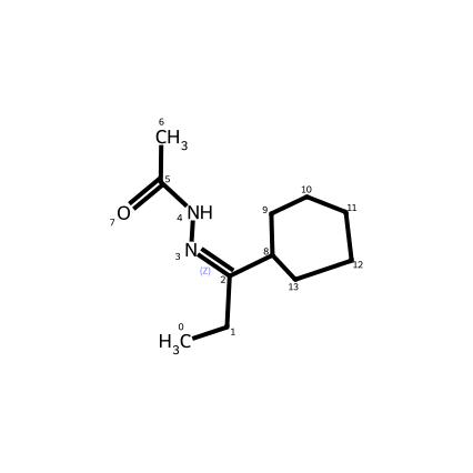 CC/C(=N/NC(C)=O)C1CCCCC1